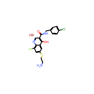 Br.NCCSc1cc(F)c2ncc(C(=O)NCc3ccc(Cl)cc3)c(O)c2c1